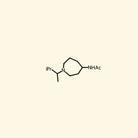 CC(=O)NC1CCCN(C(C)C(C)C)CC1